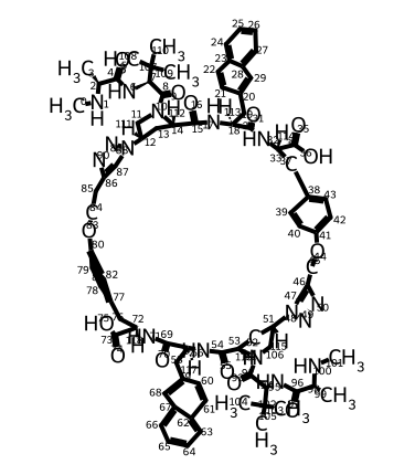 CN[C@@H](C)C(=O)N[C@H](C(=O)N1C[C@@H]2C[C@H]1C(=O)N[C@@H](Cc1ccc3ccccc3c1)C(=O)N[C@H](C(=O)O)Cc1ccc(cc1)OCc1cn(nn1)[C@H]1C[C@@H](C(=O)N[C@@H](Cc3ccc4ccccc4c3)C(=O)N[C@H](C(=O)O)Cc3ccc(cc3)OCCc3cn2nn3)N(C(=O)[C@@H](NC(=O)[C@H](C)NC)C(C)(C)C)C1)C(C)(C)C